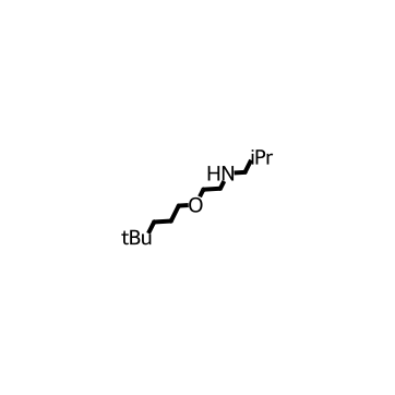 CC(C)CNCCOCCCC(C)(C)C